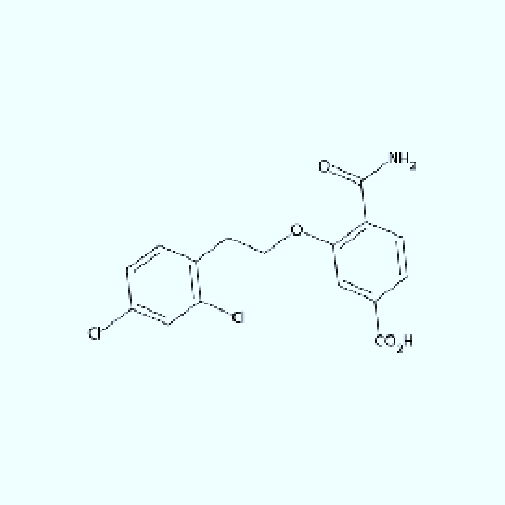 NC(=O)c1ccc(C(=O)O)cc1OCCc1ccc(Cl)cc1Cl